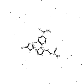 Cc1cc(C(N)=O)ccc1-n1c(CCC(=O)O)ccc1-c1ccc(Br)o1